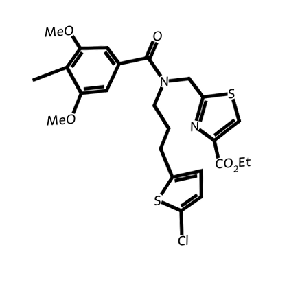 CCOC(=O)c1csc(CN(CCCc2ccc(Cl)s2)C(=O)c2cc(OC)c(C)c(OC)c2)n1